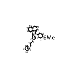 CSc1ccc(C(=NOCCCCN2CCCC2)c2cccc3ccccc23)cc1